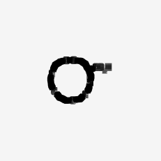 O=C(O)C1CCCCCCCCCCCCCCCCNC1